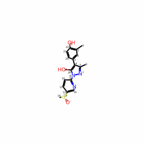 Cc1cc(-c2c(C)nn(-c3ccc([S+](C)[O-])cn3)c2O)ccc1O